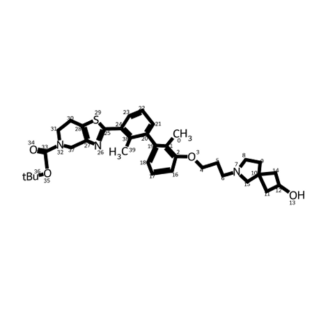 Cc1c(OCCCN2CCC3(CC(O)C3)C2)cccc1-c1cccc(-c2nc3c(s2)CCN(C(=O)OC(C)(C)C)C3)c1C